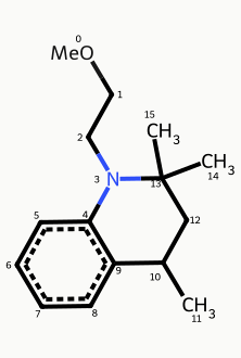 COCCN1c2ccccc2C(C)CC1(C)C